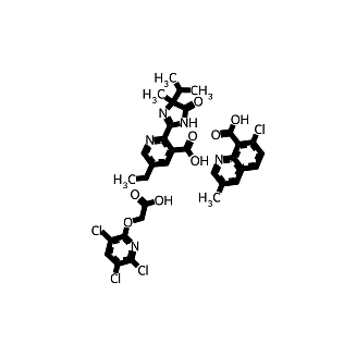 CCc1cnc(C2=NC(C)(C(C)C)C(=O)N2)c(C(=O)O)c1.Cc1cnc2c(C(=O)O)c(Cl)ccc2c1.O=C(O)COc1nc(Cl)c(Cl)cc1Cl